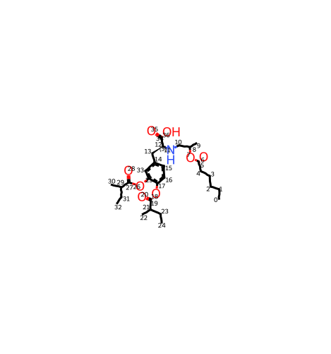 CCCCCC(=O)OC(C)CN[C@@H](Cc1ccc(OC(=O)C(C)CC)c(OC(=O)C(C)CC)c1)C(=O)O